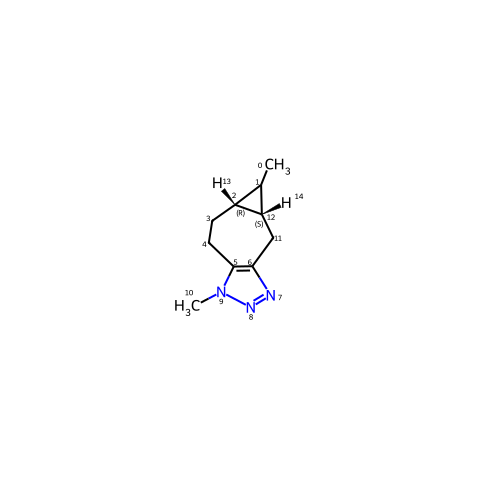 CC1[C@H]2CCc3c(nnn3C)C[C@@H]12